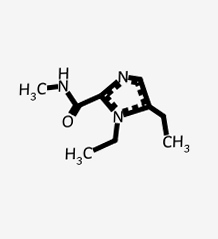 CCc1cnc(C(=O)NC)n1CC